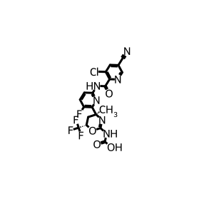 C[C@@]1(c2nc(NC(=O)c3ncc(C#N)cc3Cl)ccc2F)C[C@@H](C(F)(F)F)OC(NC(=O)O)=N1